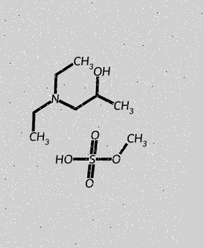 CCN(CC)CC(C)O.COS(=O)(=O)O